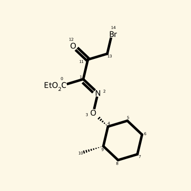 CCOC(=O)/C(=N\O[C@@H]1CCCC[C@@H]1C)C(=O)CBr